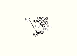 CCCCCCCCCCCC[N+](C)(C)Cc1ccccc1.C[n+]1c2cc(N)ccc2cc2ccc(N)cc21.Nc1ccc2cc3ccc(N)cc3nc2c1.[Cl-].[Cl-]